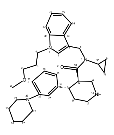 COCCCn1cc(CN(C(=O)[C@H]2CNCC[C@@H]2c2cccc(N3CCCCC3)c2)C2CC2)c2ccccc21